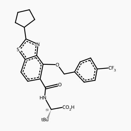 CC(C)(C)[C@H](NC(=O)c1ccc2sc(C3CCCC3)nc2c1OCc1ccc(C(F)(F)F)cc1)C(=O)O